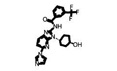 O=C(Nc1nc2ccc(-n3ccnc3)nc2n1[C@H]1CC[C@H](O)CC1)c1cccc(C(F)(F)F)c1